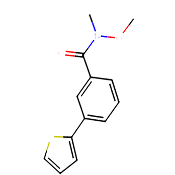 CON(C)C(=O)c1cccc(-c2cccs2)c1